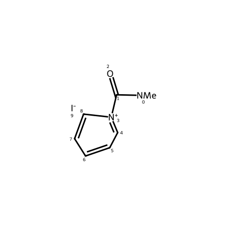 CNC(=O)[n+]1ccccc1.[I-]